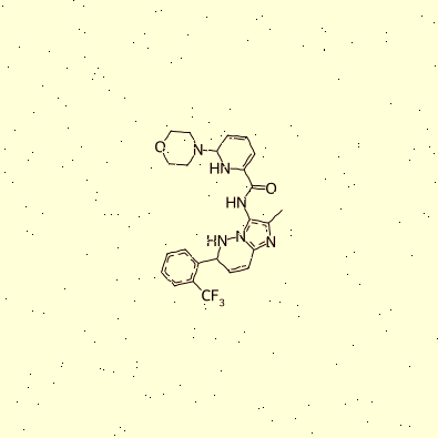 Cc1nc2n(c1NC(=O)C1=CC=CC(N3CCOCC3)N1)NC(c1ccccc1C(F)(F)F)C=C2